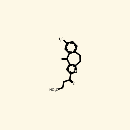 Cc1ccc2c(c1)C(=O)c1cc(C(=O)CCC(=O)O)sc1CC2